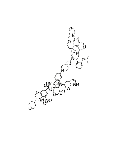 CC(C)Oc1ccccc1[C@@H]1CN([C@@H]2COCc3nc(N4CCOC[C@@H]4C)c4c(c32)C(C)(C)CCO4)CCN1C1CC2(CCN(c3ccc(C(=O)NS(=O)(=O)c4cc5c(c([N+](=O)[O-])c4)N[C@H](C4CCOCC4)CO5)c(N4c5cc6cc[nH]c6nc5O[C@H]5COCC[C@@H]54)c3)CC2)C1